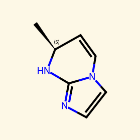 C[C@H]1C=Cn2ccnc2N1